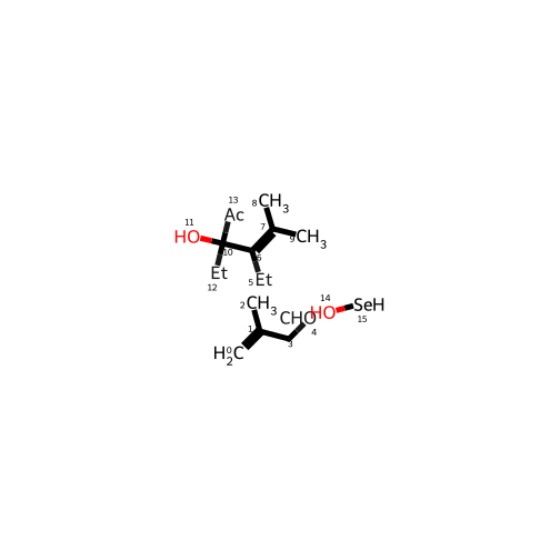 C=C(C)CC=O.CCC(=C(C)C)C(O)(CC)C(C)=O.O[SeH]